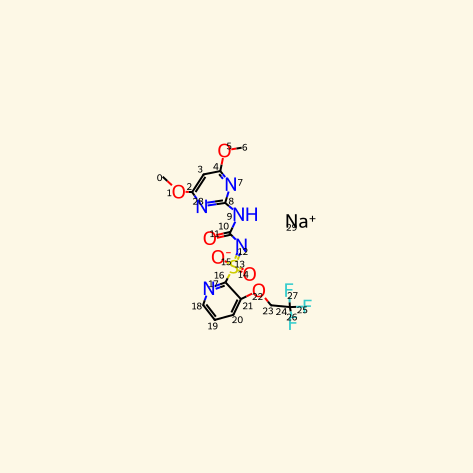 COc1cc(OC)nc(NC(=O)N=S(=O)([O-])c2ncccc2OCC(F)(F)F)n1.[Na+]